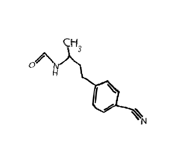 CC(CCc1ccc(C#N)cc1)NC=O